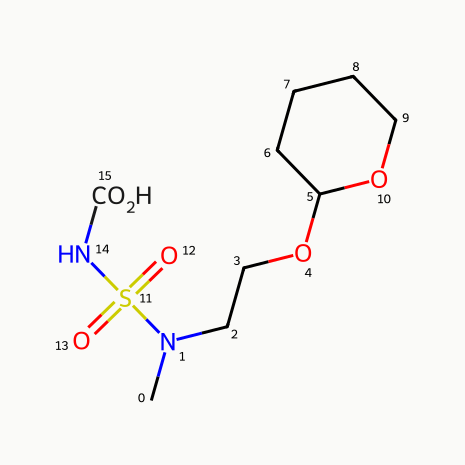 CN(CCOC1CCCCO1)S(=O)(=O)NC(=O)O